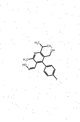 Cc1nc(C(C)C)c(CO)c(-c2ccc(F)cc2)c1/C=N\O